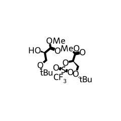 COC(=O)[C@@H](COC(C)(C)C)OS(=O)(=O)C(F)(F)F.COC(=O)[C@H](O)COC(C)(C)C